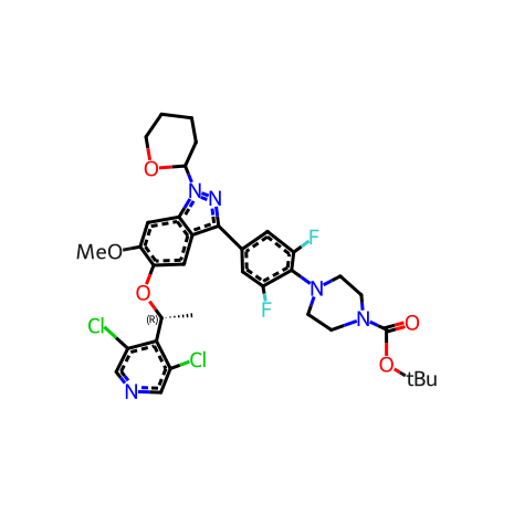 COc1cc2c(cc1O[C@H](C)c1c(Cl)cncc1Cl)c(-c1cc(F)c(N3CCN(C(=O)OC(C)(C)C)CC3)c(F)c1)nn2C1CCCCO1